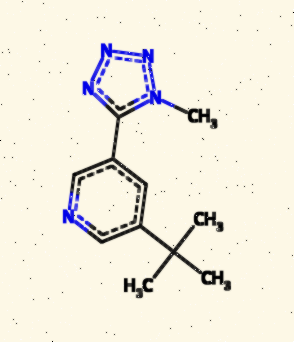 Cn1nnnc1-c1cncc(C(C)(C)C)c1